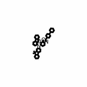 CC1(C)c2ccccc2-c2ccc(N(c3ccc4nc(-c5ccc(-c6ccccc6)cc5)oc4c3)c3cccc4c3oc3ccccc34)cc21